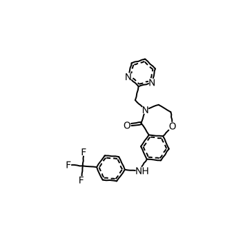 O=C1c2cc(Nc3ccc(C(F)(F)F)cc3)ccc2OCCN1Cc1ncccn1